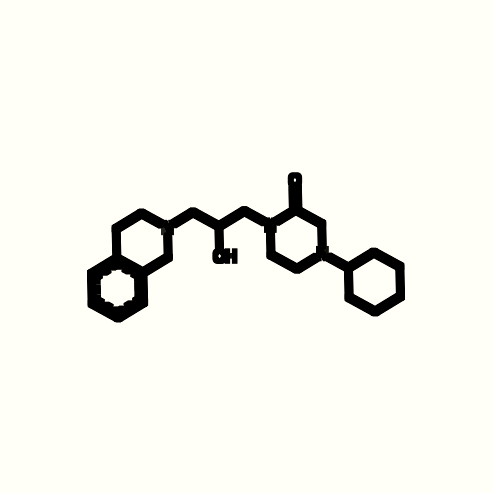 O=C1CN(C2CCCCC2)CCN1CC(O)CN1CCc2ccccc2C1